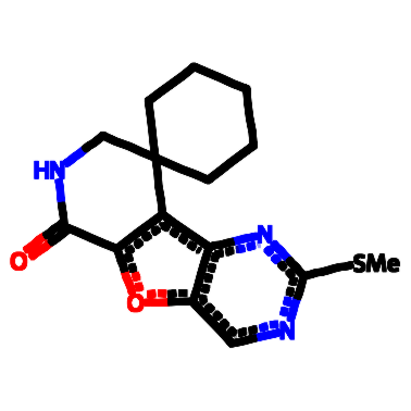 CSc1ncc2oc3c(c2n1)C1(CCCCC1)CNC3=O